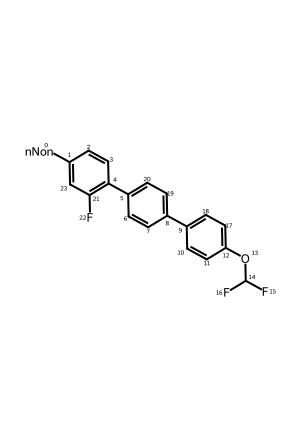 CCCCCCCCCc1ccc(-c2ccc(-c3ccc(OC(F)F)cc3)cc2)c(F)c1